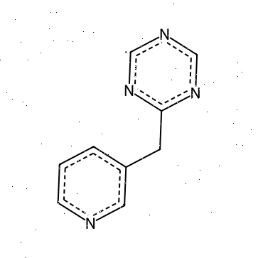 [c]1ncnc(Cc2cccnc2)n1